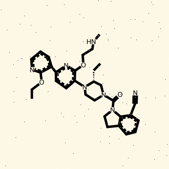 CCOc1ncccc1-c1ccc(N2CCN(C(=O)N3CCc4cccc(C#N)c43)C[C@H]2CC)c(OCCNC)n1